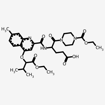 CCOC(=O)C(Oc1cc(C(=O)NC(CCC(=O)O)C(=O)N2CCN(C(=O)OCC)CC2)nc2cc(C)ccc12)C(C)C